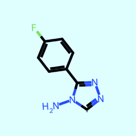 Nn1[c]nnc1-c1ccc(F)cc1